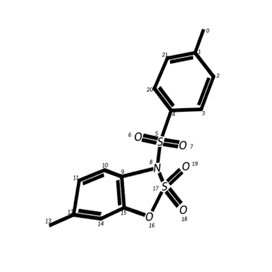 Cc1ccc(S(=O)(=O)N2c3ccc(C)cc3OS2(=O)=O)cc1